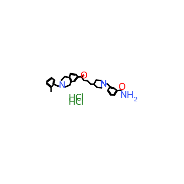 Cc1ccccc1CN1CCc2ccc(C(=O)CCCC3CCN(Cc4cccc(C(N)=O)c4)CC3)cc2CC1.Cl.Cl